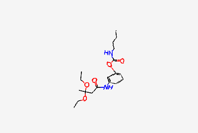 CCCCNC(=O)Oc1cccc(NC(=O)CC(C)(OCC)OCC)c1